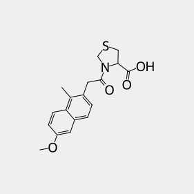 COc1ccc2c(C)c(CC(=O)N3CSCC3C(=O)O)ccc2c1